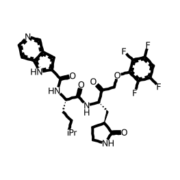 CC(C)CC[C@H](NC(=O)c1cc2cnccc2[nH]1)C(=O)N[C@@H](C[C@@H]1CCNC1=O)C(=O)COc1c(F)c(F)cc(F)c1F